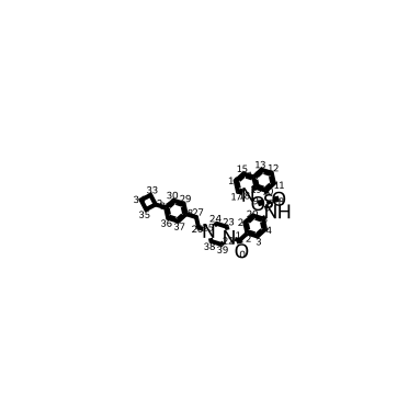 O=C(c1ccc(NS(=O)(=O)c2cccc3cccnc23)cc1)N1CCN(CCc2ccc(C3CCC3)cc2)CC1